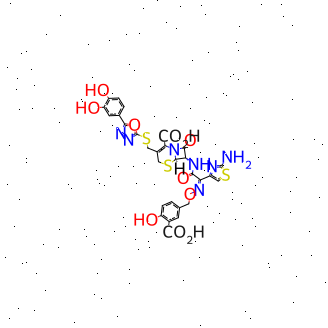 Nc1nc(/C(=N/OCc2ccc(O)c(C(=O)O)c2)C(=O)N[C@@H]2C(=O)N3C(C(=O)O)=C(CSc4nnc(-c5ccc(O)c(O)c5)o4)CS[C@H]23)cs1